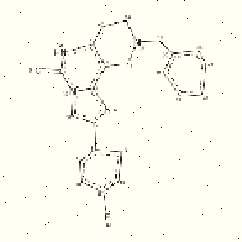 O=c1[nH]c2c(c3nc(-c4ccc(F)cc4)cn13)CN(Cc1ccccc1)CC2